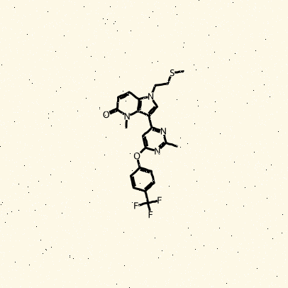 CSCCn1cc(-c2cc(Oc3ccc(C(F)(F)F)cc3)nc(C)n2)c2c1ccc(=O)n2C